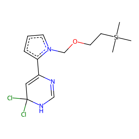 C[Si](C)(C)CCOCn1cccc1C1=CC(Cl)(Cl)NC=N1